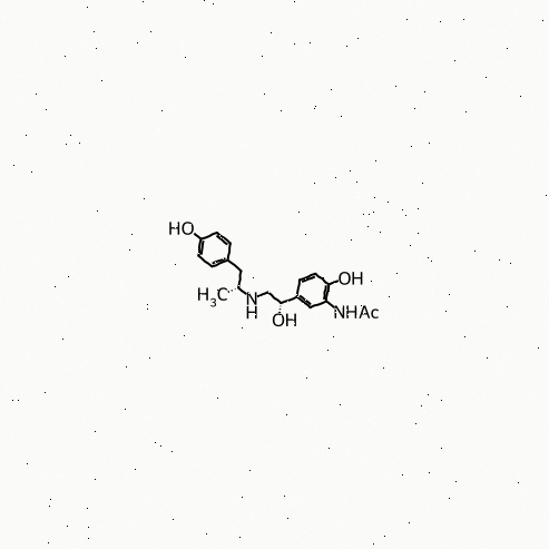 CC(=O)Nc1cc([C@H](O)CN[C@H](C)Cc2ccc(O)cc2)ccc1O